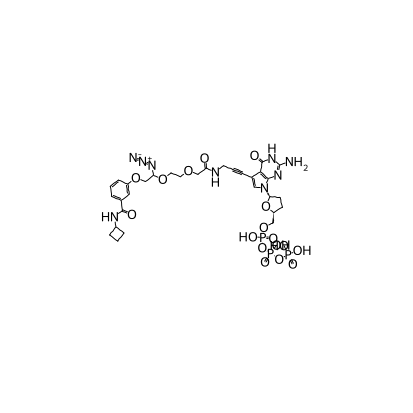 [N-]=[N+]=NC(COc1cccc(C(=O)NC2CCC2)c1)OCCOCC(=O)NCC#Cc1cn([C@H]2CC[C@@H](COP(=O)(O)OP(=O)(O)OP(=O)(O)O)O2)c2nc(N)[nH]c(=O)c12